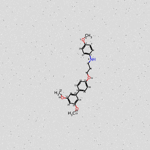 COc1ccc(NCCCOc2ccc(-c3cc(OC)cc(OC)c3)cc2)cc1